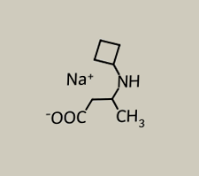 CC(CC(=O)[O-])NC1CCC1.[Na+]